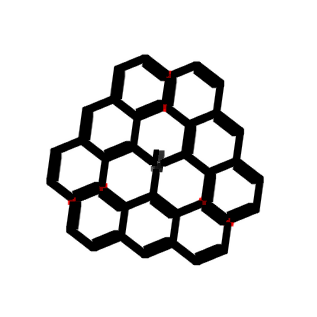 c1ccc2c([SiH](c3c4ccccc4cc4ccccc34)c3c4ccccc4cc4ccccc34)c3ccccc3cc2c1